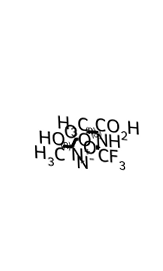 C[C@@H](O)C(=[N+]=[N-])C(=O)O[C@H](C)[C@H](NC(=O)C(F)(F)F)C(=O)O